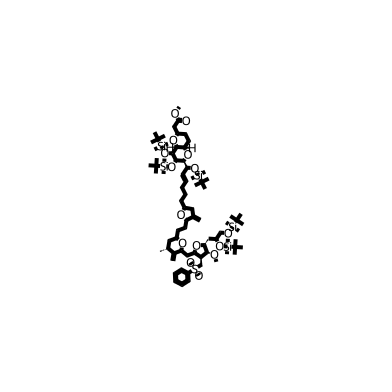 C=C1CC(CCC/C=C/C(O[Si](C)(C)C(C)(C)C)[C@@H]2O[C@H]3CCC(CC(=O)OC)O[C@@H]3C(O[Si](C)(C)C(C)(C)C)C2O[Si](C)(C)C(C)(C)C)OC1CCC1C[C@@H](C)C(=C)C(CC2O[C@H](CC(CO[Si](C)(C)C(C)(C)C)O[Si](C)(C)C(C)(C)C)[C@H](OC)[C@H]2CS(=O)(=O)c2ccccc2)O1